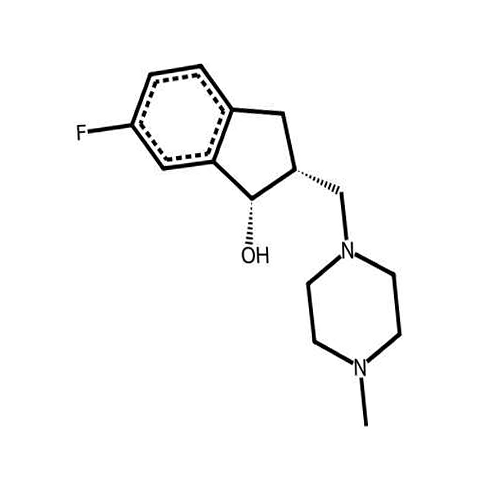 CN1CCN(C[C@H]2Cc3ccc(F)cc3[C@H]2O)CC1